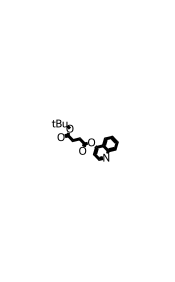 CC(C)(C)OC(=O)CCC(=O)Oc1ccnc2ccccc12